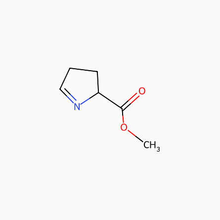 COC(=O)C1CCC=N1